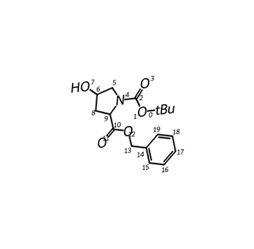 CC(C)(C)OC(=O)N1CC(O)CC1C(=O)OCc1ccccc1